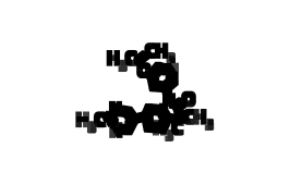 Cc1ncc(-c2ccc3c(c2)N(c2cncc(OC(C)C)c2)C(=O)C3(C)C)cn1